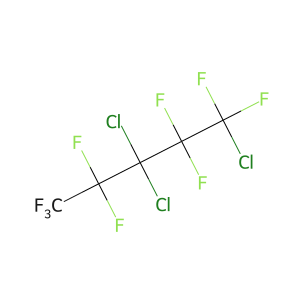 FC(F)(F)C(F)(F)C(Cl)(Cl)C(F)(F)C(F)(F)Cl